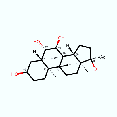 CC(=O)[C@@]1(O)CC[C@H]2[C@@H]3[C@H](O)[C@@H](O)[C@H]4C[C@H](O)CC[C@]4(C)[C@H]3CC[C@@]21C